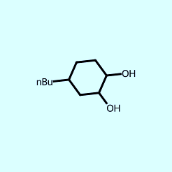 CCCCC1CCC(O)C(O)C1